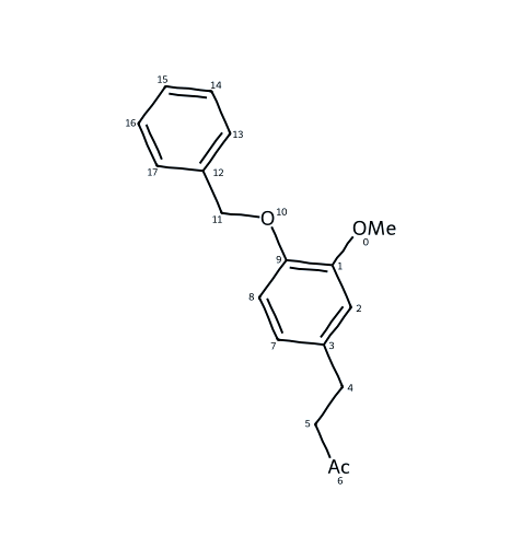 COc1cc(CCC(C)=O)ccc1OCc1ccccc1